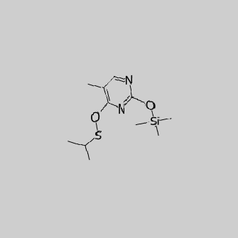 Cc1cnc(O[Si](C)(C)C)nc1OSC(C)C